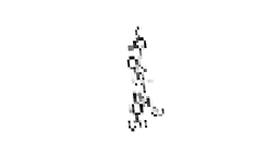 COC(=O)c1ccc2nc(CN3CCn4c(nc5c(Cc6ccc(Cl)cc6F)cccc54)C3C)n(CC3CCO3)c2c1